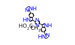 CC(=O)O.c1cc2c(-c3cnc(-c4c[nH]c5cc(C6=NCCN6)ccc45)cn3)c[nH]c2cc1C1=NCCN1